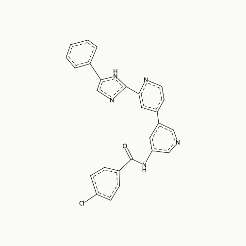 O=C(Nc1cncc(-c2ccnc(-c3ncc(-c4ccccc4)[nH]3)c2)c1)c1ccc(Cl)cc1